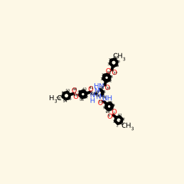 CC1CCC(C(=O)Oc2ccc(C(=O)Nc3cc(NC(=O)c4ccc(OC(=O)C5CCC(C)CC5)cc4)nc(NC(=O)c4ccc(OC(=O)C5CCC(C)CC5)cc4)n3)cc2)CC1